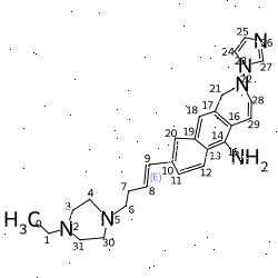 CCN1CCN(CC/C=C/c2ccc3c(N)c4c(cc3c2)CN(n2ccnc2)C=C4)CC1